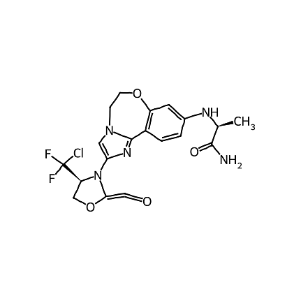 C[C@H](Nc1ccc2c(c1)OCCn1cc(N3C(=C=O)OC[C@H]3C(F)(F)Cl)nc1-2)C(N)=O